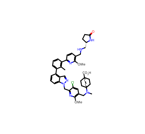 COc1nc(-c2cccc(-c3cccc4c3cnn4Cc3nc(OC)c(CN(C)C45CCC(C(=O)O)(CC4)CC5)cc3Cl)c2C)ccc1CNC[C@@H]1CCC(=O)N1